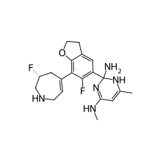 CNC1=NC(N)(c2cc3c(c(C4=CCNC[C@H](F)C4)c2F)OCC3)NC(C)=C1